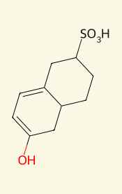 O=S(=O)(O)C1CCC2CC(O)=CC=C2C1